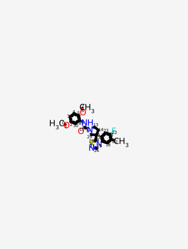 COc1ccc(OC)c(NC(=O)N2CC[C@@](c3ccc(C)c(F)c3)(c3ncns3)C2)c1